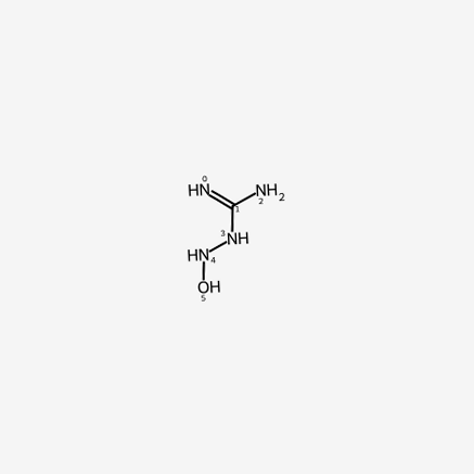 N=C(N)NNO